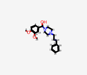 COc1ccc(C(O)N2CCN(C/C=C/c3ccccc3)CC2)cc1OC